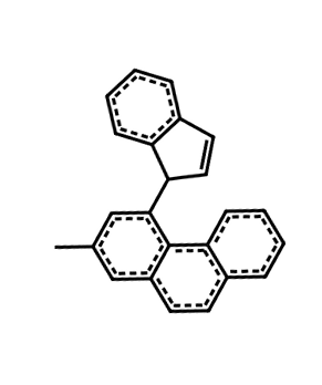 Cc1cc(C2C=Cc3ccccc32)c2c(ccc3ccccc32)c1